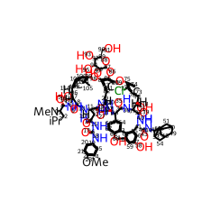 CN[C@H](CC(C)C)C(=O)N[C@H]1C(=O)N[C@@H](CC(=O)NC(=O)Nc2ccc(OC)cc2)C(=O)N[C@H]2C(=O)N[C@@H]3C(=O)N[C@H](C(=O)N[C@H](C(=O)NC4C5CC6CC(C5)CC4C6)c4cc(O)cc(C)c4-c4cc3ccc4O)[C@H](O)c3ccc(c(Cl)c3)Oc3cc2cc(c3O[C@@H]2O[C@H](CO)[C@@H](O)[C@H](O)[C@H]2O)Oc2ccc(cc2C)[C@H]1O